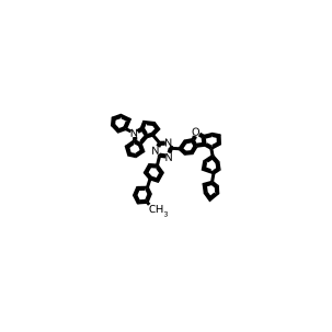 Cc1cccc(-c2ccc(-c3nc(-c4ccc5c(c4)oc4cccc(-c6ccc(-c7ccccc7)cc6)c45)nc(-c4cccc5c4c4ccccc4n5-c4ccccc4)n3)cc2)c1